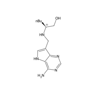 CCCC[C@@H](CO)NCc1c[nH]c2c(N)ncnc12